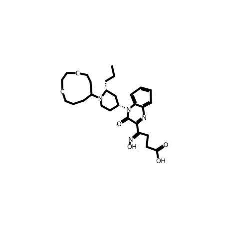 CCC[C@@H]1C[C@H](n2c(=O)c(/C(CCC(=O)O)=N/O)nc3ccccc32)CCN1C1CCCCCCCCC1